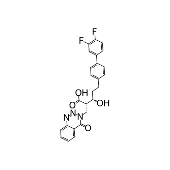 O=C(O)[C@@H](Cn1nnc2ccccc2c1=O)[C@H](O)CCc1ccc(-c2ccc(F)c(F)c2)cc1